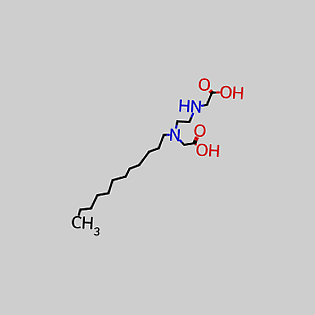 CCCCCCCCCCCCN(CCNCC(=O)O)CC(=O)O